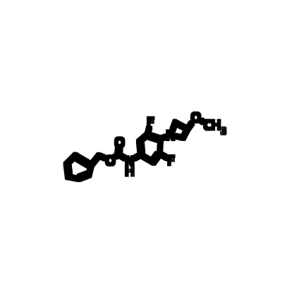 COC1CN(c2c(F)cc(NC(=O)OCc3ccccc3)cc2F)C1